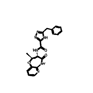 C[C@@H]1Oc2cccnc2NC(=O)[C@H]1NC(=O)c1nnc(Cc2ccccc2)[nH]1